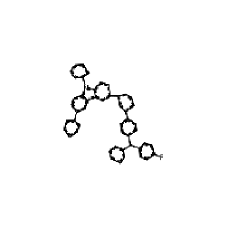 Fc1ccc(C(c2ccccc2)c2ccc(-c3cccc(-c4ccc5c(c4)c4cc(-c6ccccc6)ccc4n5-c4ccccc4)c3)cc2)cc1